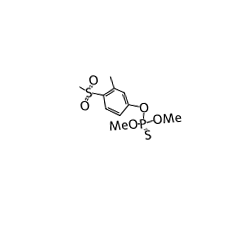 COP(=S)(OC)Oc1ccc(S(C)(=O)=O)c(C)c1